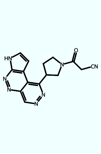 N#CCC(=O)N1CCC(c2nncc3nnc4[nH]ccc4c23)C1